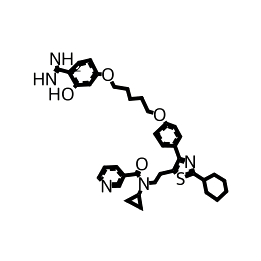 N=C(N)c1ccc(OCCCCCOc2ccc(-c3nc(C4CCCCC4)sc3CCN(C(=O)c3cccnc3)C3CC3)cc2)cc1O